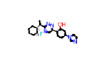 C=C(c1ncc(-c2ccc(-n3ccnc3)cc2O)nn1)[C@@H]1CCCC[C@H]1F